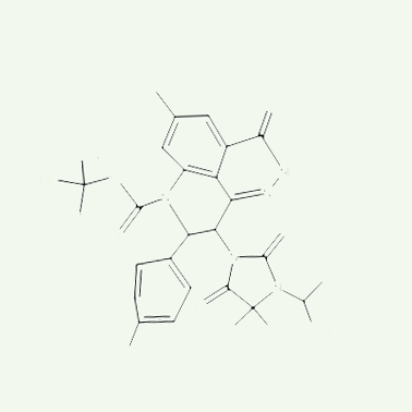 CC(C)N1C(=O)N(C2c3n[nH]c(=O)c4cc(F)cc(c34)N(C(=O)OC(C)(C)C)C2c2ccc(F)cc2)C(=O)C1(C)C